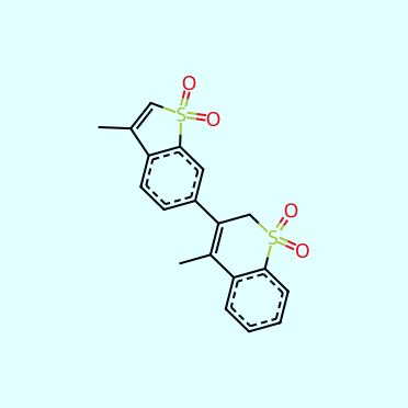 CC1=CS(=O)(=O)c2cc(C3=C(C)c4ccccc4S(=O)(=O)C3)ccc21